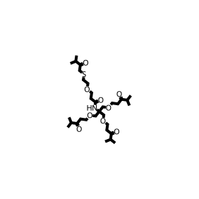 CC(C)C(=O)CCOCC(COCCC(=O)C(C)C)(COCCC(=O)C(C)C)NC(=O)CCOCCSCC(=O)C(C)C